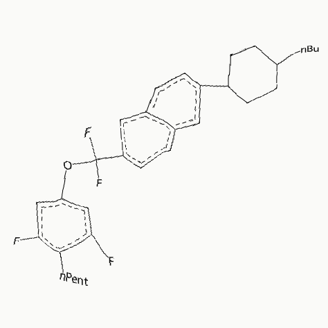 CCCCCc1c(F)cc(OC(F)(F)c2ccc3cc(C4CCC(CCCC)CC4)ccc3c2)cc1F